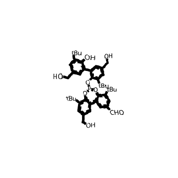 CC(C)(C)c1cc(CO)cc(-c2cc(CO)cc(C(C)(C)C)c2Op2oc3c(C(C)(C)C)cc(C=O)cc3c3cc(CO)cc(C(C)(C)C)c3o2)c1O